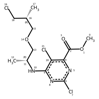 COC(=O)c1nc(Cl)nc(N[C@H](C)COC[C@@H](C)CCl)c1Cl